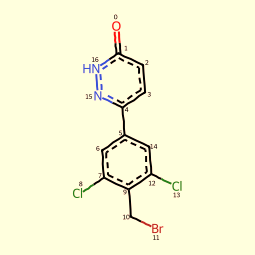 O=c1ccc(-c2cc(Cl)c(CBr)c(Cl)c2)n[nH]1